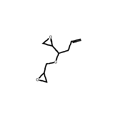 C=CCC(OCC1CO1)C1CO1